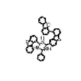 c1ccc(C2NC(c3ccc4sc5cccc(-c6cccc7c6oc6ccccc67)c5c4c3)NC(c3cccc4sc5ccccc5c34)N2)cc1